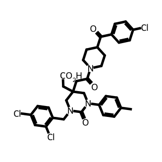 Cc1ccc(N2CC(CC(=O)O)(CC(=O)N3CCC(C(=O)c4ccc(Cl)cc4)CC3)CN(Cc3ccc(Cl)cc3Cl)C2=O)cc1